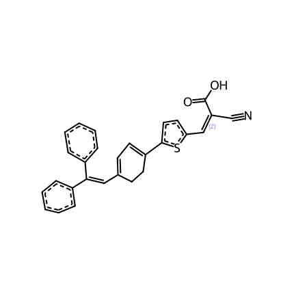 N#C/C(=C/c1ccc(C2=CC=C(C=C(c3ccccc3)c3ccccc3)CC2)s1)C(=O)O